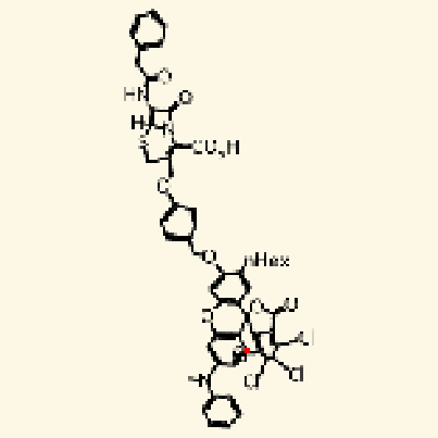 CCCCCCc1cc2c(cc1OCc1ccc(OCC3=C(C(=O)O)N4C(=O)[C@H](NC(=O)Cc5ccccc5)[C@@H]4SC3)cc1)Oc1cc(N(C)c3ccccc3)ccc1C21OC(=O)c2c(Cl)c(Cl)c(Cl)c(Cl)c21